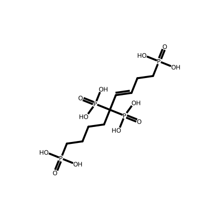 O=P(O)(O)CCC=CC(CCCCP(=O)(O)O)(P(=O)(O)O)P(=O)(O)O